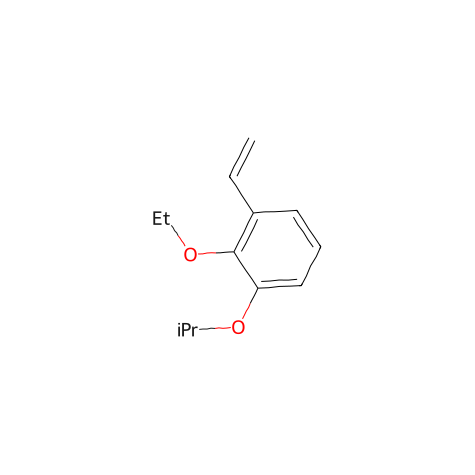 C=Cc1cccc(OC(C)C)c1OCC